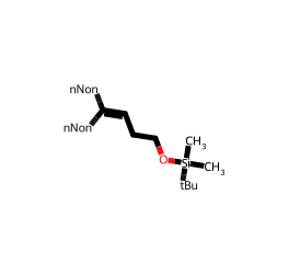 CCCCCCCCCC(=CCCO[Si](C)(C)C(C)(C)C)CCCCCCCCC